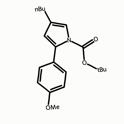 CCCCc1cc(-c2ccc(OC)cc2)n(C(=O)OC(C)(C)C)c1